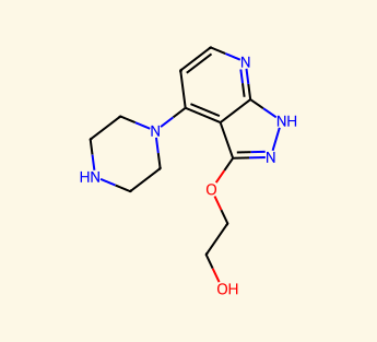 OCCOc1n[nH]c2nccc(N3CCNCC3)c12